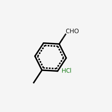 Cc1ccc(C=O)cc1.Cl